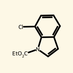 CCOC(=O)n1ccc2cccc(Cl)c21